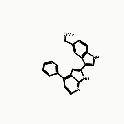 COCc1ccc2[nH]cc(-c3cc4c(-c5ccccc5)ccnc4[nH]3)c2c1